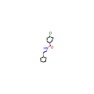 O=C(NC=Cc1ccccc1)c1ccc(Cl)cc1